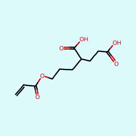 C=CC(=O)OCCCC(CCC(=O)O)C(=O)O